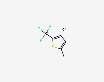 Cc1ccc([B-](F)(F)F)s1.[K+]